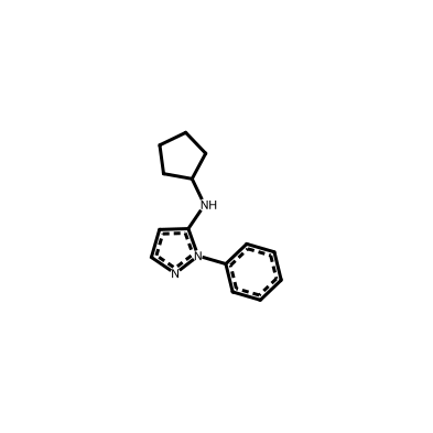 c1ccc(-n2nccc2NC2CCCC2)cc1